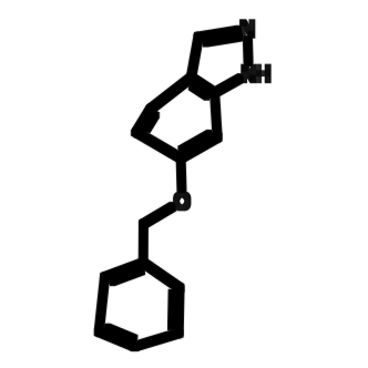 c1ccc(COc2ccc3cn[nH]c3c2)cc1